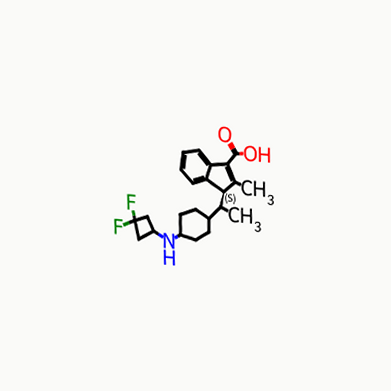 CC1=C(C(=O)O)c2ccccc2[C@@H]1C(C)C1CCC(NC2CC(F)(F)C2)CC1